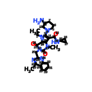 CCn1c(N2CCC[C@@H](N)C2)c(C(=O)NC2CC2)c2c1c(=O)n(Cc1nc(C)c3ccccc3n1)c(=O)n2C